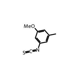 COc1cc(C)cc(N=C=S)c1